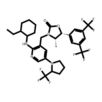 CCC1CCCCC1Nc1ncc(N2CCCC2C(F)(F)F)cc1CN1C(=O)O[C@H](c2cc(C(F)(F)F)cc(C(F)(F)F)c2)[C@@H]1C